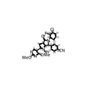 COc1ncc(-c2cc3c(n2C(C)C)C(c2ccc(C#N)cc2)N(c2cccc(Cl)c2F)C3=O)c(OC)n1